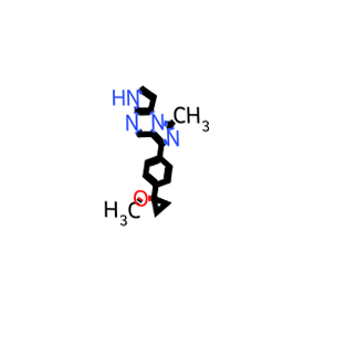 COC1(c2ccc(-c3nc(C)n4c3cnc3[nH]ccc34)cc2)CC1